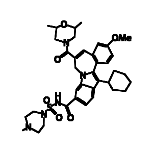 COc1ccc2c(c1)C=C(C(=O)N1CC(C)OC(C)C1)Cn1c-2c(C2CCCCC2)c2ccc(C(=O)NS(=O)(=O)N3CCN(C)CC3)cc21